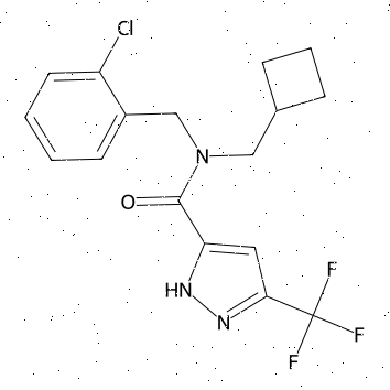 O=C(c1cc(C(F)(F)F)n[nH]1)N(Cc1ccccc1Cl)CC1CCC1